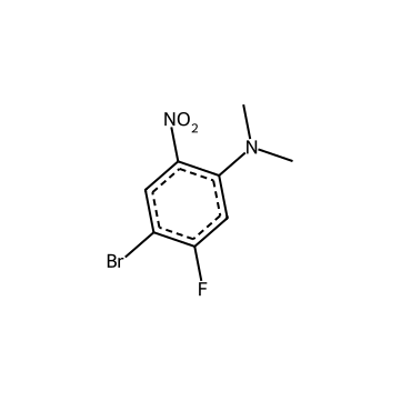 CN(C)c1cc(F)c(Br)cc1[N+](=O)[O-]